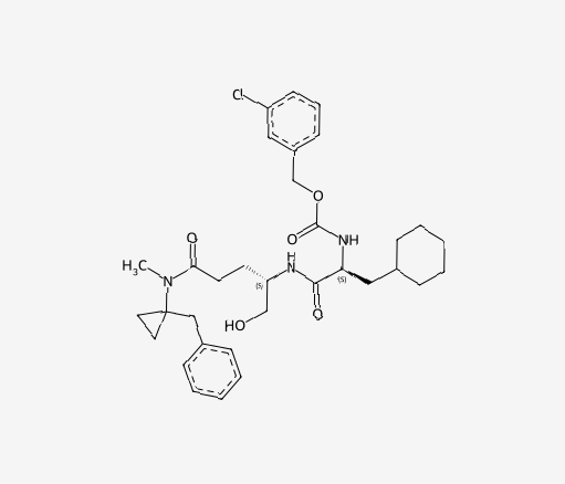 CN(C(=O)CC[C@@H](CO)NC(=O)[C@H](CC1CCCCC1)NC(=O)OCc1cccc(Cl)c1)C1(Cc2ccccc2)CC1